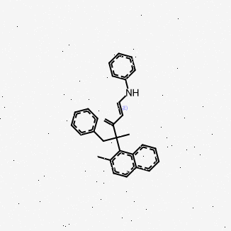 C=C(/C=C/Nc1ccccc1)C(C)(Cc1ccccc1)c1c(C)ccc2ccccc12